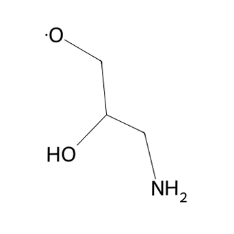 NCC(O)C[O]